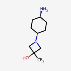 N[C@H]1CC[C@@H](N2CC(O)(C(F)(F)F)C2)CC1